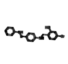 Oc1cc(Br)ccc1CNc1ccc(SNc2ccccc2)cc1